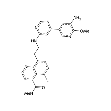 CNC(=O)c1ccnc2c(CCNc3cc(-c4cnc(OC)c(N)c4)ncn3)ccc(F)c12